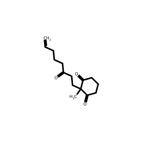 C=CCCCC(=O)CCC1(C)C(=O)CCCC1=O